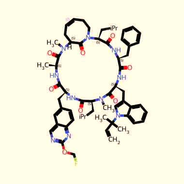 C=CC(C)(C)n1cc(C[C@@H]2NC(=O)[C@H](Cc3ccccc3)NC(=O)[C@H](CC(C)C)N3CC/C=C\C[C@@H](C3=O)N(C)C(=O)[C@H](C)NC(=O)[C@H](Cc3ccc4nc(OCF)ncc4c3)NC(=O)[C@H](CC(C)C)N(C)C2=O)c2ccccc21